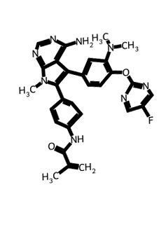 C=C(C)C(=O)Nc1ccc(-c2c(-c3ccc(Oc4ncc(F)cn4)c(N(C)C)c3)c3c(N)ncnc3n2C)cc1